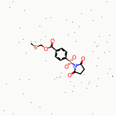 CSCOC(=O)c1ccc(S(=O)(=O)N2C(=O)CCC2=O)cc1